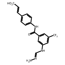 NN=CNc1cc(C(=O)Nc2ccc(C=CC(=O)O)cc2)cc(C(F)(F)F)c1